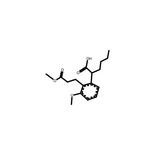 CCCCC(C(=O)O)c1cccc(OC)c1CCC(=O)OC